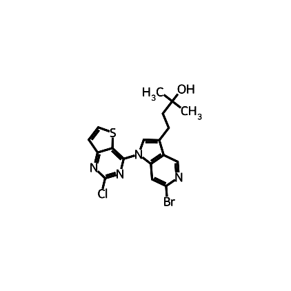 CC(C)(O)CCc1cn(-c2nc(Cl)nc3ccsc23)c2cc(Br)ncc12